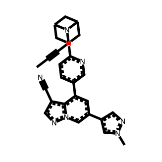 CC#CCN1C2CC1CN(c1ccc(-c3cc(-c4cnn(C)c4)cn4ncc(C#N)c34)cn1)C2